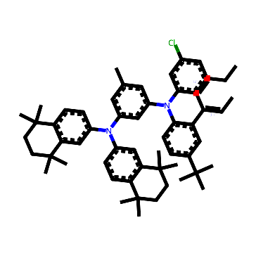 C/C=C(\C=C/CC)c1cc(C(C)(C)C)ccc1N(c1cccc(Cl)c1)c1cc(C)cc(N(c2ccc3c(c2)C(C)(C)CCC3(C)C)c2ccc3c(c2)C(C)(C)CCC3(C)C)c1